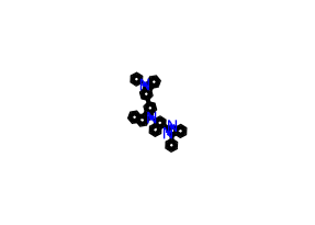 c1ccc(-c2nc(-c3ccc(-n4c5ccc(-c6ccc7c(c6)c6ccccc6n7-c6ccccc6)cc5c5c6ccccc6ccc54)c4ccccc34)nc3ccccc23)cc1